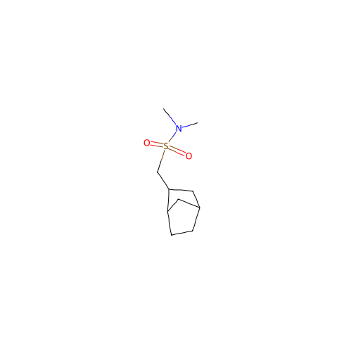 CN(C)S(=O)(=O)CC1CC2CCC1C2